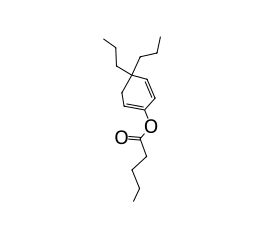 CCCCC(=O)OC1=CCC(CCC)(CCC)C=C1